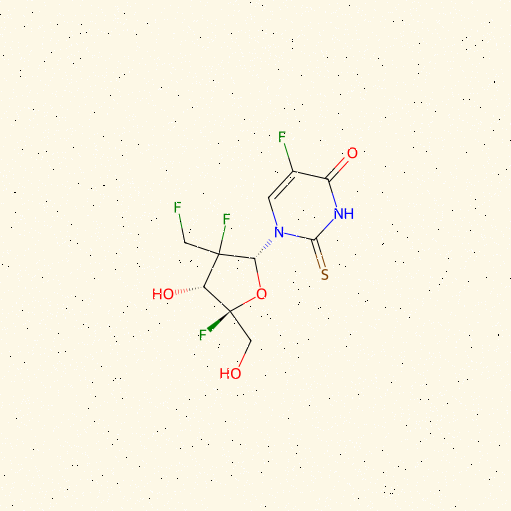 O=c1[nH]c(=S)n([C@@H]2O[C@](F)(CO)[C@H](O)C2(F)CF)cc1F